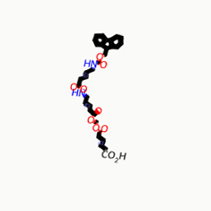 O=C(O)C/C=C/CC(=O)OCOC(=O)C/C=C/CNOC(=O)C/C=C/CNC(=O)OCC1c2ccccc2-c2ccccc21